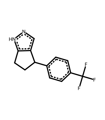 FC(F)(F)c1ccc(C2CCc3[nH]ncc32)cc1